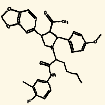 CCCCC(C(=O)Nc1ccc(F)c(C)c1)N1CC(c2ccc3c(c2)OCO3)C(C(=O)O)C1c1ccc(OC)cc1